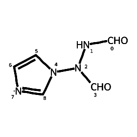 O=CNN(C=O)N1C=C[N+]=C1